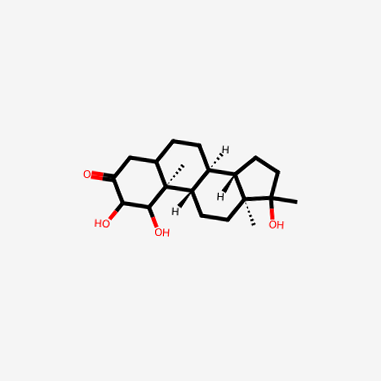 CC1(O)CC[C@H]2[C@@H]3CCC4CC(=O)C(O)C(O)[C@]4(C)[C@H]3CC[C@@]21C